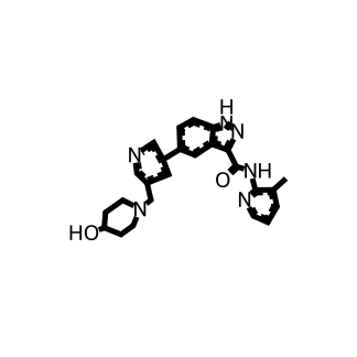 Cc1cccnc1NC(=O)c1n[nH]c2ccc(-c3cncc(CN4CCC(O)CC4)c3)cc12